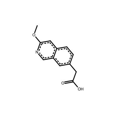 COc1cc2ccc(CC(=O)O)cc2cn1